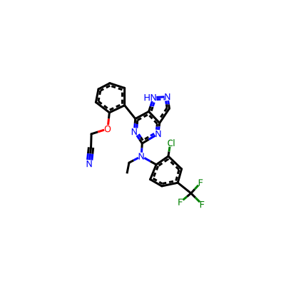 CCN(c1nc(-c2ccccc2OCC#N)c2[nH]ncc2n1)c1ccc(C(F)(F)F)cc1Cl